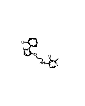 Cc1ncnc(NCCOc2ccnn2-c2ccccc2Cl)c1Cl